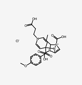 CCC1N(C(=O)O)C2=C[N+]1(C(=O)O)N2C1(C(=O)c2ccc(OC)cc2)C=CN(CCC(=O)O)C=C1.[Cl-]